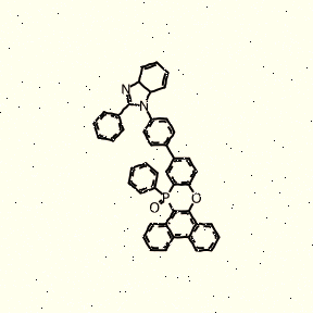 O=P1(c2ccccc2)c2cc(-c3ccc(N4C(c5ccccc5)=NC5C=CC=CC54)cc3)ccc2Oc2c1c1ccccc1c1ccccc21